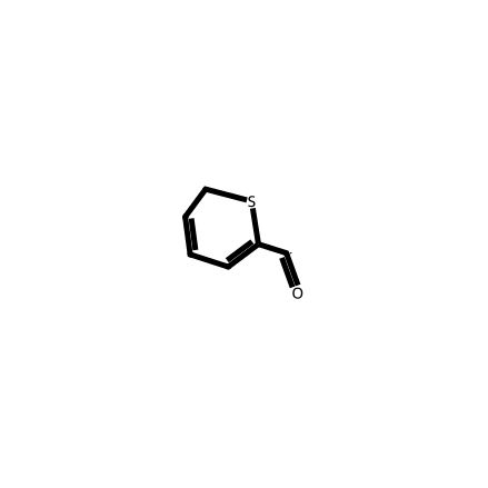 O=[C]C1=CC=CCS1